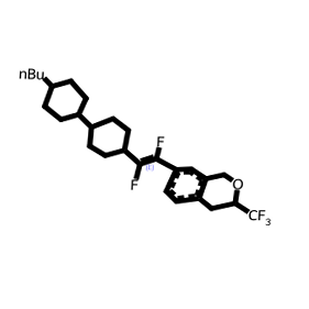 CCCCC1CCC(C2CCC(/C(F)=C(\F)c3ccc4c(c3)COC(C(F)(F)F)C4)CC2)CC1